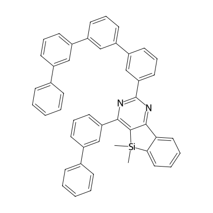 C[Si]1(C)c2ccccc2-c2nc(-c3cccc(-c4cccc(-c5cccc(-c6ccccc6)c5)c4)c3)nc(-c3cccc(-c4ccccc4)c3)c21